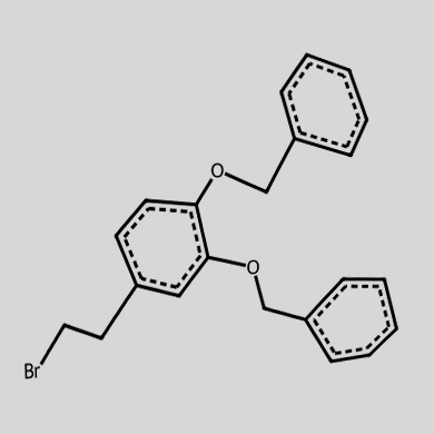 BrCCc1ccc(OCc2ccccc2)c(OCc2ccccc2)c1